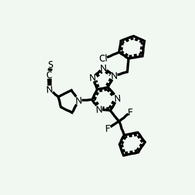 FC(F)(c1ccccc1)c1nc(N2CCC(N=C=S)C2)c2nnn(Cc3ccccc3Cl)c2n1